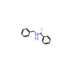 FC(NCc1ccccc1)c1ccccc1